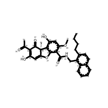 CCCCc1ccc2ccccc2c1CNC(=O)c1c(OC)cc(O)c2c1OC1=CC(O)=C(C(C)=O)C(=O)[C@]12C